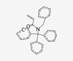 C=CC(=O)N(Cc1ccccc1)C(c1ccccc1)(c1ccccc1)c1ccccc1